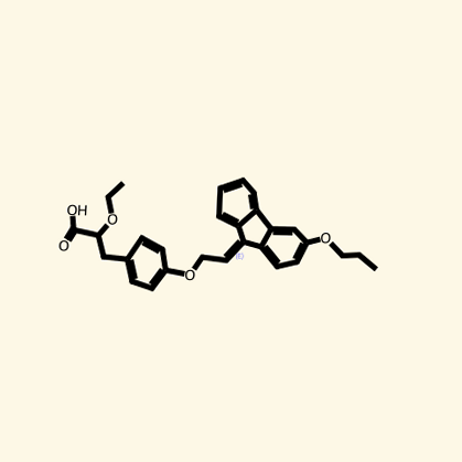 CCCOc1ccc2c(c1)-c1ccccc1/C2=C\COc1ccc(CC(OCC)C(=O)O)cc1